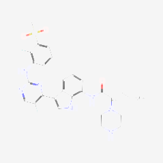 COC[C@@H](C(=O)Nc1cccc2c(-c3nc(Nc4cccc(S(C)(=O)=O)c4F)ncc3F)c[nH]c12)N1CCNCC1